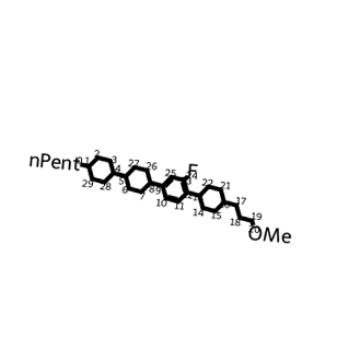 CCCCCC1CCC(C2CCC(c3ccc(C4CCC(CCCOC)CC4)c(F)c3)CC2)CC1